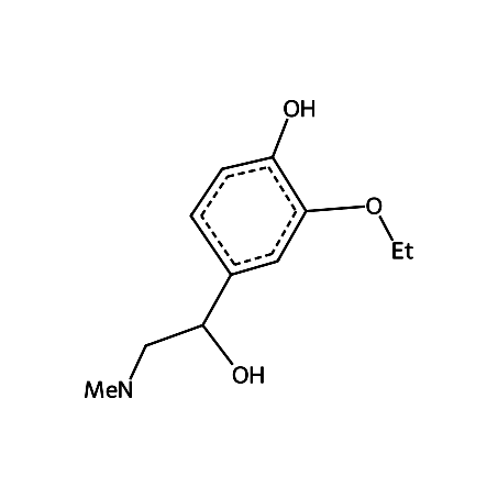 CCOc1cc(C(O)CNC)ccc1O